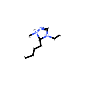 CCCCC1N(CC)C=NN1C